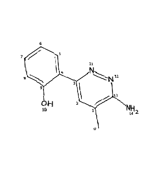 Cc1cc(-c2ccccc2O)nnc1N